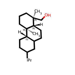 CC(C)C1CC[C@H]2C(CC[C@H]3[C@](C)(CO)CCC[C@]23C)C1